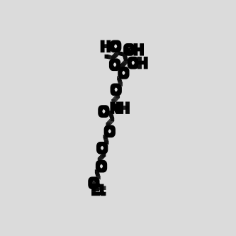 CCOCCOCCOCCOCCC(=O)NCCOCCO[C@@H]1O[C@@H](C)[C@H](O)[C@@H](O)[C@H]1O